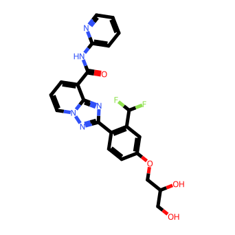 O=C(Nc1ccccn1)c1cccn2nc(-c3ccc(OCC(O)CO)cc3C(F)F)nc12